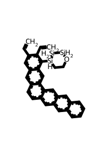 C=Cc1cc2cc3ccc4cc5cc6ccccc6cc5cc4c3cc2c([SiH]2CCO[SiH2][SiH2]2)c1C=C